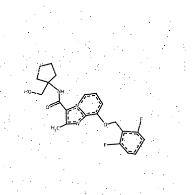 Cc1nc2c(OCc3c(F)cccc3F)cccn2c1C(=O)NC1(CO)CCCC1